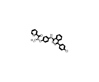 CN(Oc1ccc(Nc2nnc(-c3ccc(Cl)cc3)c3ccccc23)cc1)C(=O)c1ccccn1